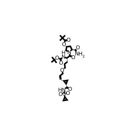 CC(C)(C)OC(=O)N[C@@H](CCCOC/C=C\[C@@H]1C[C@@H]1C(=O)NS(=O)(=O)C1CC1)C(=O)N1C[C@H](OC(=O)C(C)(C)C)C[C@H]1C(N)=O